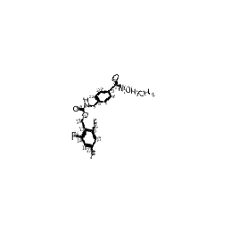 CN(O)C(=O)c1ccc(CNC(=O)OCc2c(F)cc(F)cc2F)cc1